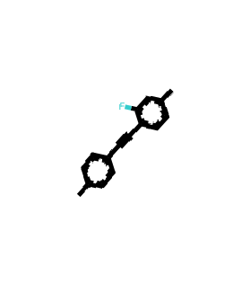 Cc1ccc(C#Cc2ccc(C)cc2F)cc1